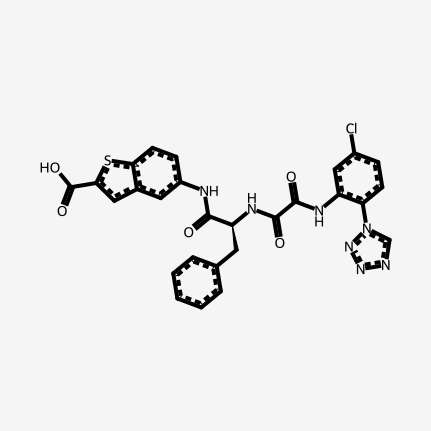 O=C(Nc1cc(Cl)ccc1-n1cnnn1)C(=O)N[C@@H](Cc1ccccc1)C(=O)Nc1ccc2sc(C(=O)O)cc2c1